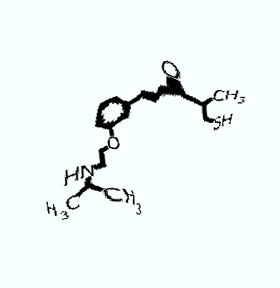 CC(C)NCCOc1cccc(/C=C/C(=O)C(C)CS)c1